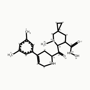 Cc1cc(C)cc(C2=CCNC(C(=O)C3C(C(=O)NO)CC4(CC4)CN3C)C2)c1